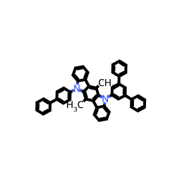 Cc1c2c3ccccc3n(-c3cc(-c4ccccc4)cc(-c4ccccc4)c3)c2c(C)c2c3ccccc3n(-c3ccc(-c4ccccc4)cc3)c12